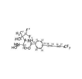 CC(O)(C(F)F)[C@H](NC(=O)c1ccc(C#CC#CC(F)(F)F)cc1)C(=O)NO